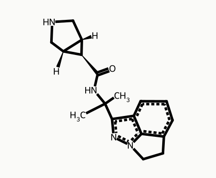 CC(C)(NC(=O)[C@H]1[C@@H]2CNC[C@@H]21)c1nn2c3c(cccc13)CC2